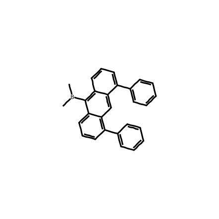 CB(C)c1c2cccc(-c3ccccc3)c2cc2c(-c3ccccc3)cccc12